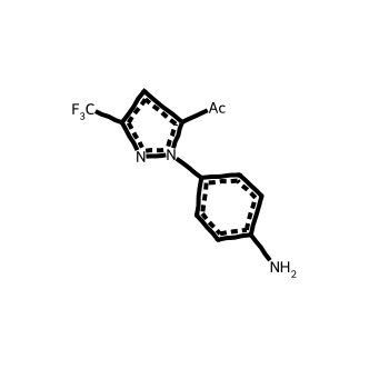 CC(=O)c1cc(C(F)(F)F)nn1-c1ccc(N)cc1